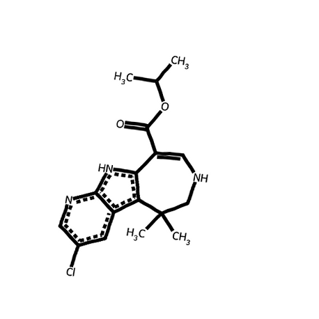 CC(C)OC(=O)C1=CNCC(C)(C)c2c1[nH]c1ncc(Cl)cc21